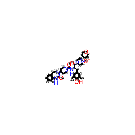 Cc1cc(C[C@@H](NC(=O)N2CCC(N3CCc4ccccc4NC3=O)CC2)C(=O)N2CC[N+]([O-])(C3CCOCC3)CC2)cc(C)c1O